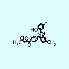 Cc1ccc2c(N3CCN(C(=O)[C@H](O)CC(C)C)CC3)nc(-c3cc(F)ccc3O)nc2c1